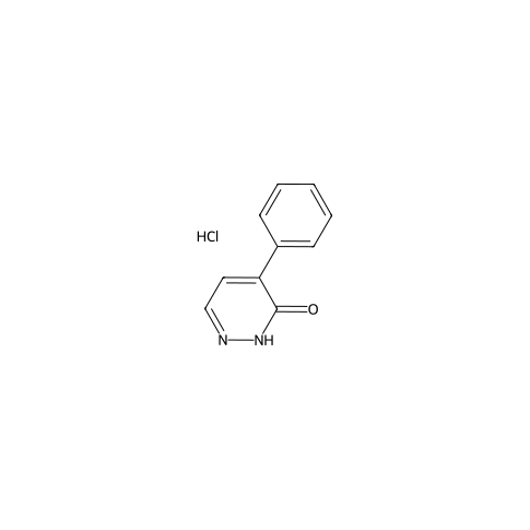 Cl.O=c1[nH]nccc1-c1ccccc1